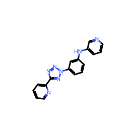 c1ccc(-c2nnn(-c3cccc(Nc4cccnc4)c3)n2)nc1